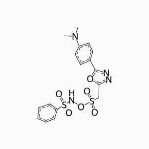 CN(C)c1ccc(-c2nnc(CS(=O)(=O)ONS(=O)(=O)c3ccccc3)o2)cc1